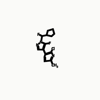 Cc1ccc(-c2cnn(C(F)C3CCCC3)c2F)c(Cl)n1